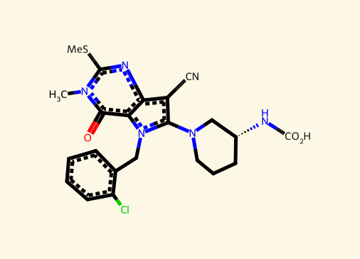 CSc1nc2c(C#N)c(N3CCC[C@@H](NC(=O)O)C3)n(Cc3ccccc3Cl)c2c(=O)n1C